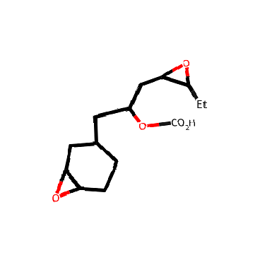 CCC1OC1CC(CC1CCC2OC2C1)OC(=O)O